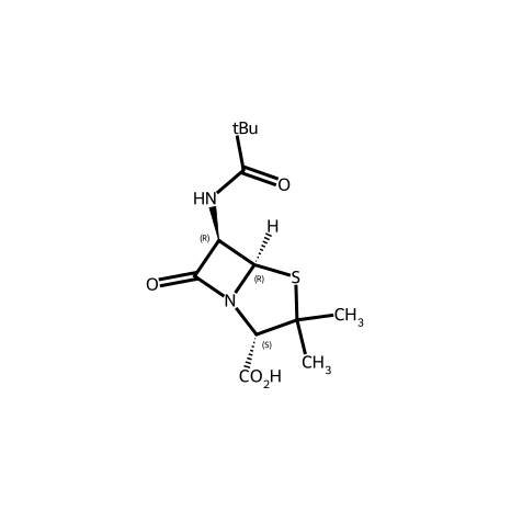 CC(C)(C)C(=O)N[C@@H]1C(=O)N2[C@@H]1SC(C)(C)[C@@H]2C(=O)O